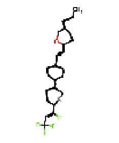 CCCC1CCC(/C=C/C2CCC(C3CCC(/C(F)=C/C(F)(F)F)CC3)CC2)OC1